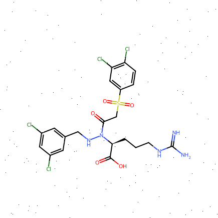 N=C(N)NCCC[C@@H](C(=O)O)N(NCc1cc(Cl)cc(Cl)c1)C(=O)CS(=O)(=O)c1ccc(Cl)c(Cl)c1